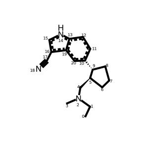 CCN(C)C[C@@H]1CCC[C@H]1c1ccc2[nH]cc(C#N)c2c1